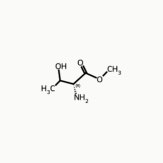 COC(=O)[C@H](N)C(C)O